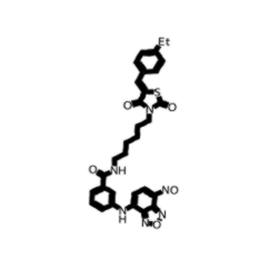 CCc1ccc(/C=C2\SC(=O)N(CCCCCCNC(=O)c3cccc(Nc4ccc(N=O)c5nonc45)c3)C2=O)cc1